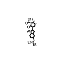 CCN(CC)Cc1ccc2[nH]c(-c3c[c]cn(C(N)=O)c3=O)cc2c1